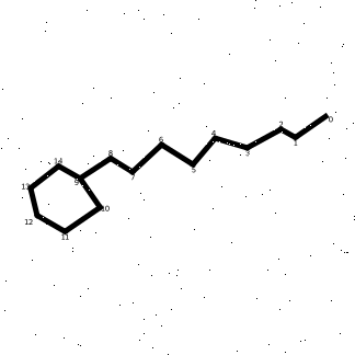 CCCCCCCCC[C]1CCCCC1